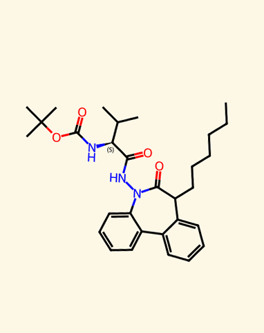 CCCCCCC1C(=O)N(NC(=O)[C@@H](NC(=O)OC(C)(C)C)C(C)C)c2ccccc2-c2ccccc21